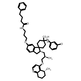 C[C@@H](COc1ccnc2c1[C@H](C)CCC2)C[C@H]1Cc2ccc(OCCCNC(=O)CCCc3ccccc3)cc2C12CCC(Nc1cccc(Cl)c1)(C(=O)O)CC2